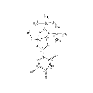 CC(C)(C)[Si](C)(C)OC[C@@]1(CO)O[C@@H](n2cc(F)c(=O)[nH]c2=O)CC1O[Si](C)(C)C(C)(C)C